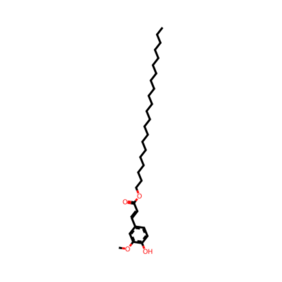 CCCCCCCCCCCCCCCCCCCCCCOC(=O)/C=C/c1ccc(O)c(OC)c1